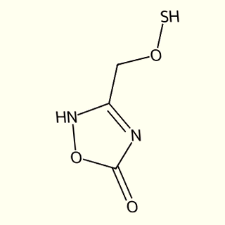 O=c1nc(COS)[nH]o1